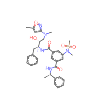 Cc1cc(N(C)C[C@@H](O)[C@H](Cc2ccccc2)NC(=O)c2cc(C(=O)N[C@H](C)c3ccccc3)cc(N(C)S(C)(=O)=O)c2)no1